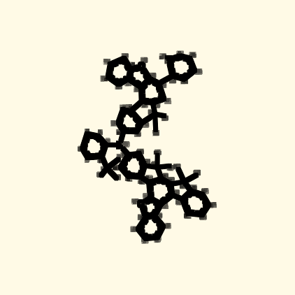 CC(C)(C)c1ccccc1N(c1ccc2c(c1)C(C)(C)c1cc(-c3ccccn3)c3oc4ccccc4c3c1-2)c1ccc2c(c1)C(C)(C)c1c3c(c4c(oc5ccccc54)c1-2)-c1ccccc1C3(C)C